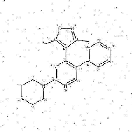 Cc1noc(C)c1-c1nc(N2CCSCC2)ncc1-c1ccncc1